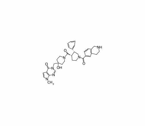 Cn1ccc2c(=O)n(CC3(O)CCN(C(=O)[C@@H]4CCN(C(=O)c5ccc6c(c5)CCNC6)C[C@H]4c4ccccc4)CC3)cnc21